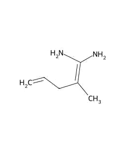 C=CCC(C)=C(N)N